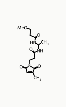 COCCC(=O)NC(C)NC(=O)CCN1C(=O)C=C(C)C1=O